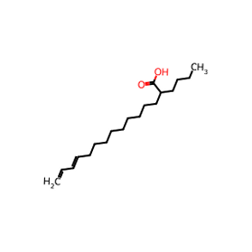 C=CC=CCCCCCCCCCC(CCCC)C(=O)O